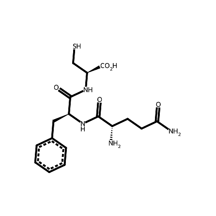 NC(=O)CC[C@H](N)C(=O)N[C@@H](Cc1ccccc1)C(=O)N[C@@H](CS)C(=O)O